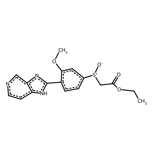 CCOC(=O)C[S+]([O-])c1ccc(-c2nc3cnccc3[nH]2)c(OC)c1